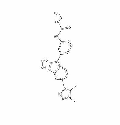 Cc1c(-c2ccn3c(-c4cccc(NC(=O)NCC(F)(F)F)c4)cnc3c2)nnn1C.O=CO